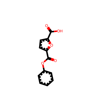 O=C(O)c1ccc(C(=O)Oc2ccccc2)o1